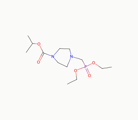 CCOP(=O)(CN1CCN(C(=O)OC(C)C)CC1)OCC